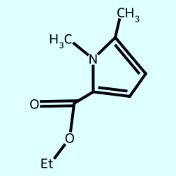 CCOC(=O)c1ccc(C)n1C